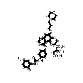 O=C(Nc1ccc(Oc2ncnc3cc(OCCCN4CCOCC4)c4c(c23)OCCO4)cc1)Nc1cc(C(F)(F)F)ccc1F.O=C(O)C[C@H](O)C(=O)O